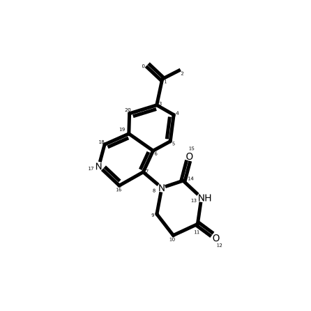 C=C(C)c1ccc2c(N3CCC(=O)NC3=O)cncc2c1